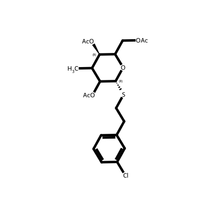 CC(=O)OCC1O[C@H](SCCc2cccc(Cl)c2)C(OC(C)=O)C(C)[C@H]1OC(C)=O